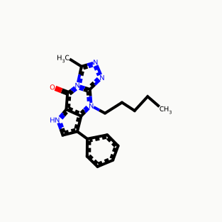 CCCCCn1c2c(-c3ccccc3)c[nH]c2c(=O)n2c(C)nnc12